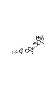 CC(=O)c1c(NC(C)CCCn2ccc3cc(-c4ncc(C(F)(F)F)cn4)ccc3c2=O)cn[nH]c1=O